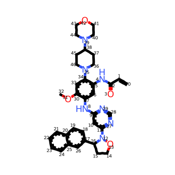 C=CC(=O)Nc1cc(Nc2cc(N3OCCC3c3ccc4ccccc4c3)ncn2)c(OC)cc1N1CCC(N2CCOCC2)CC1